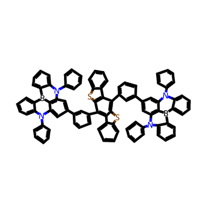 c1ccc(N2c3ccccc3B3c4ccccc4N(c4ccccc4)c4cc(-c5cccc(-c6c7sc8ccccc8c7c(-c7cccc(-c8cc9c%10c(c8)N(c8ccccc8)c8ccccc8B%10c8ccccc8N9c8ccccc8)c7)c7sc8ccccc8c67)c5)cc2c43)cc1